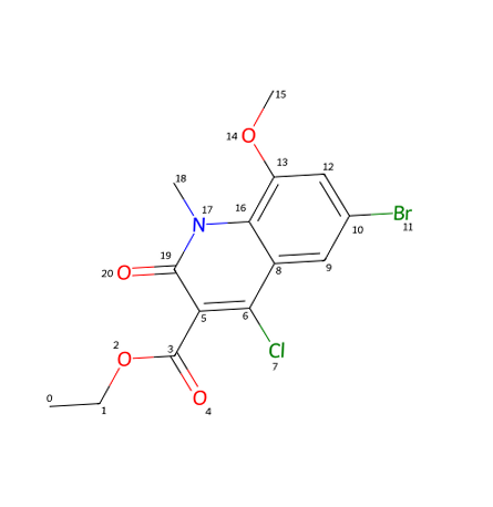 CCOC(=O)c1c(Cl)c2cc(Br)cc(OC)c2n(C)c1=O